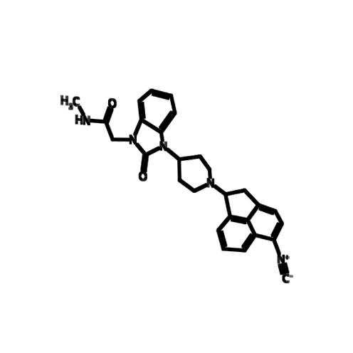 [C-]#[N+]c1ccc2c3c(cccc13)C(N1CCC(n3c(=O)n(CC(=O)NC)c4ccccc43)CC1)C2